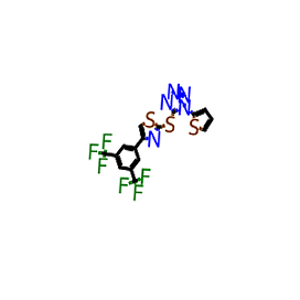 FC(F)(F)c1cc(-c2csc(Sc3nnnn3-c3cccs3)n2)cc(C(F)(F)F)c1